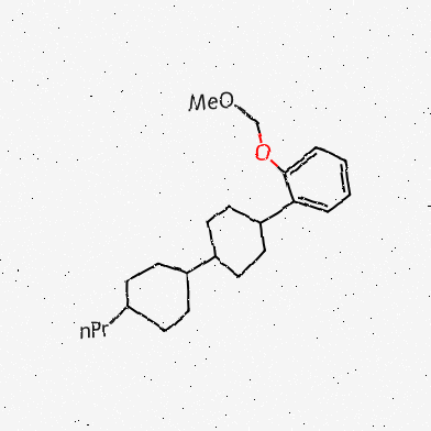 CCCC1CCC(C2CCC(c3ccccc3OCOC)CC2)CC1